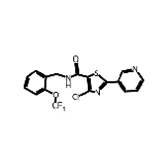 O=C(NCc1ccccc1OC(F)(F)F)c1sc(-c2cccnc2)nc1Cl